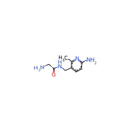 Cc1nc(N)ccc1CNC(=O)CN